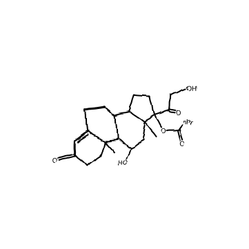 CCCC(=O)OC1(C(=O)CO)CCC2C3CCC4=CC(=O)CCC4(C)C3C(O)CC21C